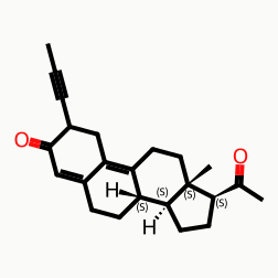 CC#CC1CC2=C3CC[C@]4(C)[C@@H](C(C)=O)CC[C@H]4[C@@H]3CCC2=CC1=O